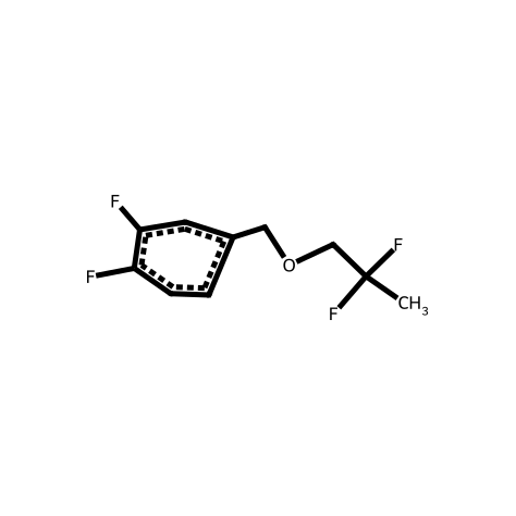 CC(F)(F)COCc1ccc(F)c(F)c1